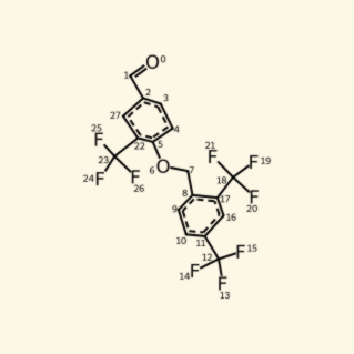 O=Cc1ccc(OCc2ccc(C(F)(F)F)cc2C(F)(F)F)c(C(F)(F)F)c1